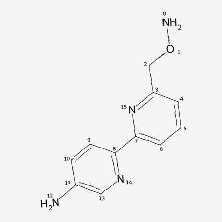 NOCc1cccc(-c2ccc(N)cn2)n1